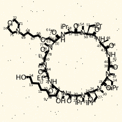 CC[C@@H]1NC(=O)[C@H]([C@H](O)[C@H](C)CCCCCO)N(C)C(=O)[C@H](C(C)C)N(C)C(=O)[C@H](CC(C)C)N(C)C(=O)[C@H](CC(C)C)N(C)C(=O)[C@@H](C)NC(=O)[C@H](C)NC(=O)[C@H](CC(C)C)N(C)C(=O)[C@H](C(C)C)NC(=O)[C@H]([C@@H](C)OCCCCN2CCOCC2)N(C)C(=O)[C@@H](C)N(C)C1=O